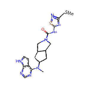 CSc1nsc(NC(=O)N2CC3CC(N(C)c4ncnc5[nH]ccc45)CC3C2)n1